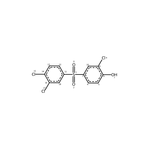 O=S(=O)(c1ccc(O)c(Cl)c1)c1ccc(Cl)c(Cl)c1